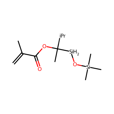 C=C(C)C(=O)OC(C)([SiH2]O[Si](C)(C)C)C(C)C